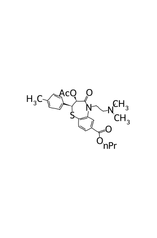 CCCOC(=O)c1ccc2c(c1)N(CCN(C)C)C(=O)[C@H](OC(C)=O)[C@H](c1ccc(C)cc1)S2